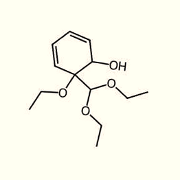 CCOC(OCC)C1(OCC)C=CC=CC1O